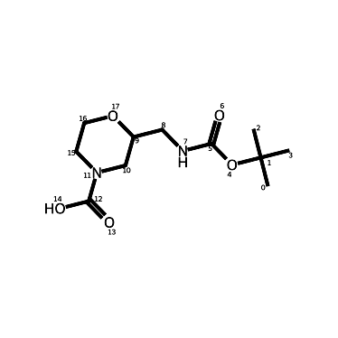 CC(C)(C)OC(=O)NCC1CN(C(=O)O)CCO1